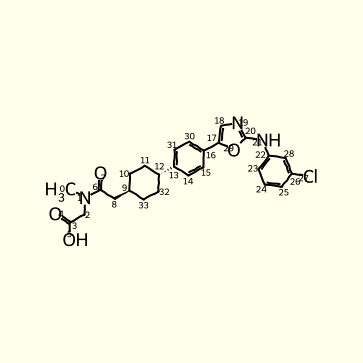 CN(CC(=O)O)C(=O)C[C@H]1CC[C@H](c2ccc(-c3cnc(Nc4cccc(Cl)c4)o3)cc2)CC1